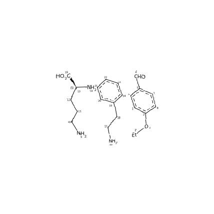 CCOc1ccc(C=O)cc1.NCCC[C@H](N)C(=O)O.NCCc1ccccc1